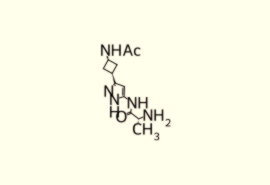 CC(=O)N[C@H]1C[C@@H](c2cc(NC(=O)[C@@H](C)N)[nH]n2)C1